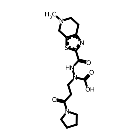 CN1CCc2nc(C(=O)NN(CCC(=O)N3CCCC3)C(=O)O)sc2C1